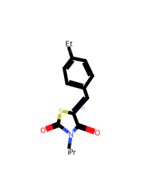 CCc1ccc(/C=C2\SC(=O)N(C(C)C)C2=O)cc1